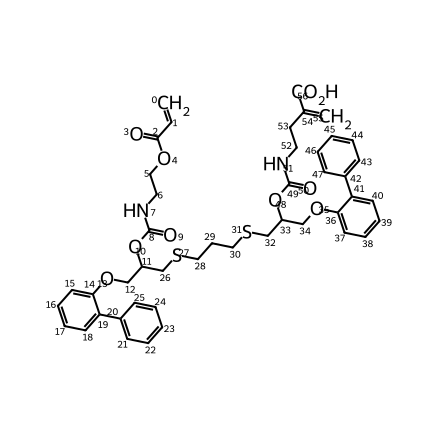 C=CC(=O)OCCNC(=O)OC(COc1ccccc1-c1ccccc1)CSCCCSCC(COc1ccccc1-c1ccccc1)OC(=O)NCCC(=C)C(=O)O